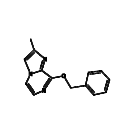 Cc1cn2ccnc(OCc3ccccc3)c2n1